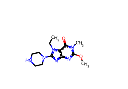 CCn1c(N2CCNCC2)nc2nc(OC)n(C)c(=O)c21